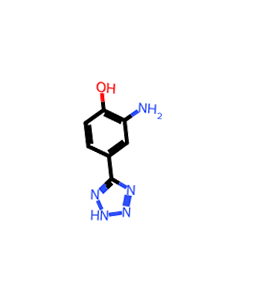 Nc1cc(-c2nn[nH]n2)ccc1O